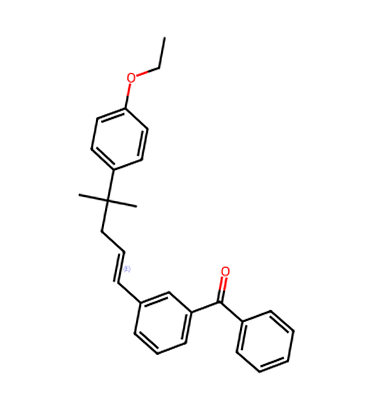 CCOc1ccc(C(C)(C)C/C=C/c2cccc(C(=O)c3ccccc3)c2)cc1